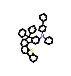 c1ccc(-c2ccc(N(c3ccccc3)c3ccc4c(c3)C(c3ccccc3)(c3ccccc3)c3ccc5ccc6c7ccccc7sc6c5c3-4)cc2)cc1